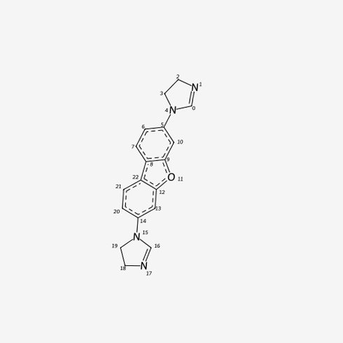 C1=NCCN1c1ccc2c(c1)oc1cc(N3C=NCC3)ccc12